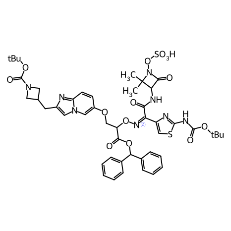 CC(C)(C)OC(=O)Nc1nc(/C(=N/OC(COc2ccc3nc(CC4CN(C(=O)OC(C)(C)C)C4)cn3c2)C(=O)OC(c2ccccc2)c2ccccc2)C(=O)NC2C(=O)N(OS(=O)(=O)O)C2(C)C)cs1